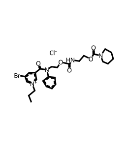 CCC[n+]1cc(Br)cc(C(=O)N(CCOC(=O)NCCOC(=O)N2CCCCC2)c2ccccc2)c1.[Cl-]